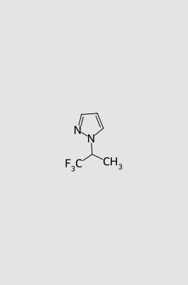 CC(n1cccn1)C(F)(F)F